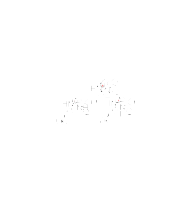 C#CCO[C@@H]1NC(=O)[C@H]1NC(c1ccccc1)(c1ccccc1)c1ccccc1.COC(=O)C#CCO[C@@H]1NC(=O)[C@H]1NC(c1ccccc1)(c1ccccc1)c1ccccc1.COC(=O)C#CCO[C@H]1NC(=O)[C@H]1NC(c1ccccc1)(c1ccccc1)c1ccccc1